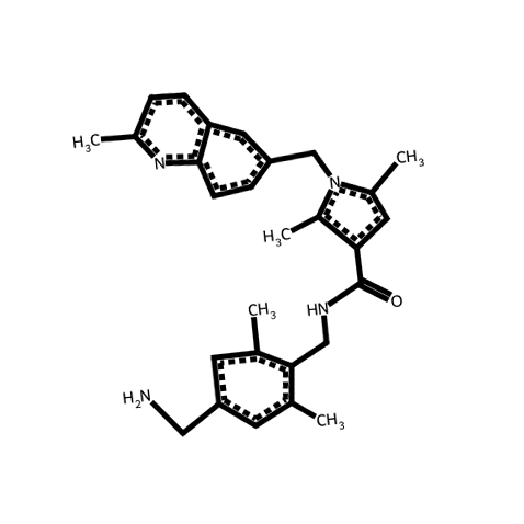 Cc1ccc2cc(Cn3c(C)cc(C(=O)NCc4c(C)cc(CN)cc4C)c3C)ccc2n1